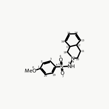 COc1ccc(S(=O)(=O)NN2CCC3C=CC=CC3C2)cc1